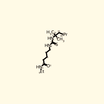 CCNC(=O)CCCCNC(=S)NC(C)(C)CC(C)C